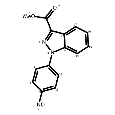 COC(=O)c1nn(-c2ccc(N=O)cc2)c2ccccc12